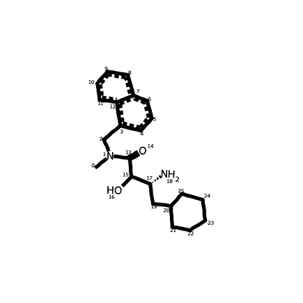 CN(Cc1cccc2ccccc12)C(=O)C(O)[C@H](N)CC1CCCCC1